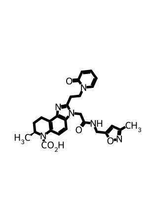 Cc1cc(CNC(=O)Cn2c(CCn3ccccc3=O)nc3c4c(ccc32)N(C(=O)O)[C@@H](C)CC4)on1